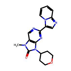 Cn1c(=O)n(C2CCOCC2)c2nc(-c3cnc4ccccn34)ncc21